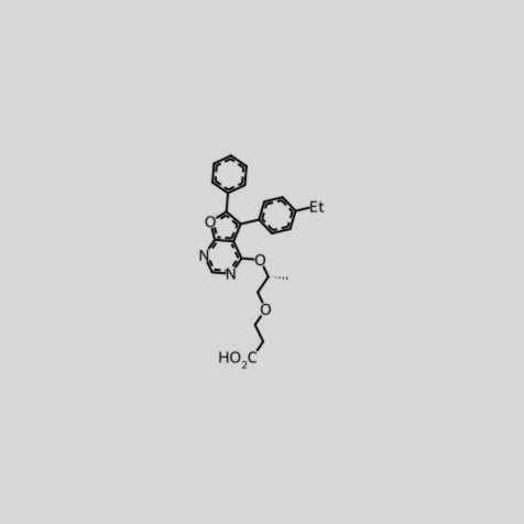 CCc1ccc(-c2c(-c3ccccc3)oc3ncnc(O[C@H](C)COCCC(=O)O)c23)cc1